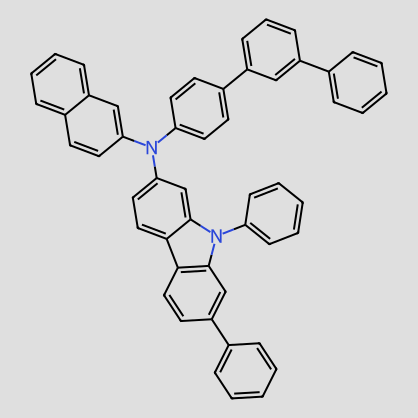 c1ccc(-c2cccc(-c3ccc(N(c4ccc5ccccc5c4)c4ccc5c6ccc(-c7ccccc7)cc6n(-c6ccccc6)c5c4)cc3)c2)cc1